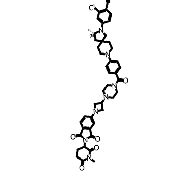 C[C@H]1CC2(CCN(c3ccc(C(=O)N4CCN(C5CN(c6ccc7c(c6)C(=O)N(C6CCC(=O)N(C)C6=O)C7=O)C5)CC4)cc3)CC2)CN1c1ccc(C#N)c(Cl)c1